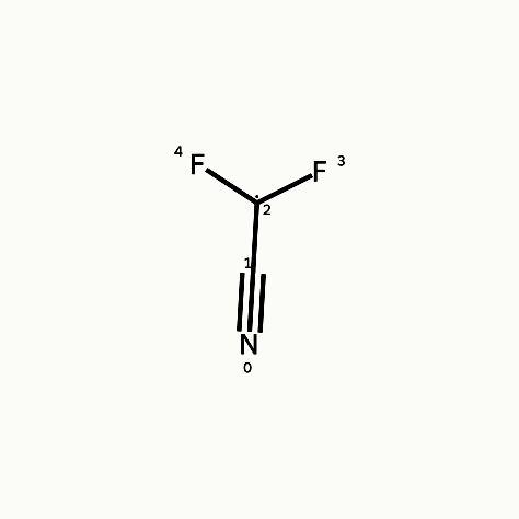 N#C[C](F)F